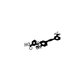 O=C(O)c1cccc(S(=O)(=O)Nc2ccc(C#Cc3cccc(C(F)(F)F)c3)cc2)c1